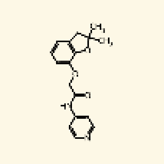 CC1(C)Cc2cccc(OCC(=O)Nc3ccncc3)c2O1